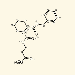 COC(=O)CCOC(=O)[C@@H]1CCCC[C@@H]1C(=O)OCc1ccccc1